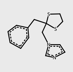 c1ccc(CC2(Cn3ccnc3)SCCS2)cc1